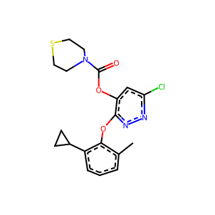 Cc1cccc(C2CC2)c1Oc1nnc(Cl)cc1OC(=O)N1CCSCC1